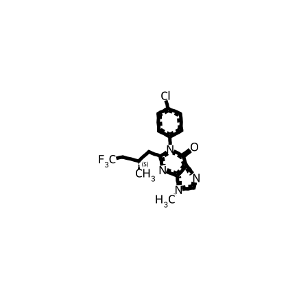 C[C@@H](Cc1nc2c(ncn2C)c(=O)n1-c1ccc(Cl)cc1)CC(F)(F)F